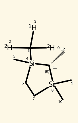 [2H]C([2H])([2H])[Si]1(C)CC[Si](C)(C)[C@H]1C